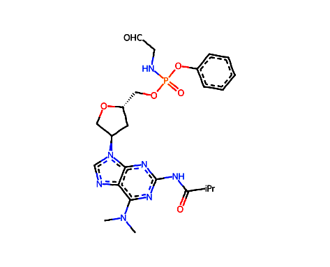 CC(C)C(=O)Nc1nc(N(C)C)c2ncn([C@H]3CO[C@H](COP(=O)(NCC=O)Oc4ccccc4)C3)c2n1